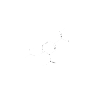 CC(C)Oc1ccc(/C(N)=N/O)cc1C(=O)O